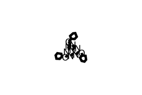 C1CCC(OC2=NC3=NC(OC4CCCCC4)=NC4=NC(OC5CCCCC5)=NC(=N2)N34)CC1